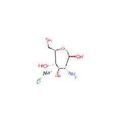 N[C@@H]1[C@@H](O)[C@H](O)[C@@H](CO)O[C@H]1O.[Cl-].[Na+]